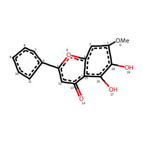 COc1cc2oc(-c3ccccc3)cc(=O)c2c(O)c1O